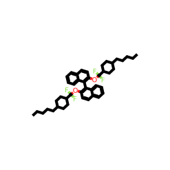 CCCCCC1CCC(C(F)(F)Oc2ccc3ccccc3c2-c2c(OC(F)(F)C3CCC(CCCCC)CC3)ccc3ccccc23)CC1